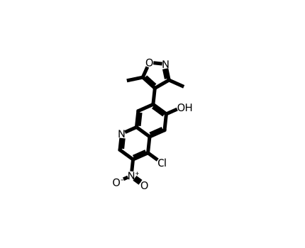 Cc1noc(C)c1-c1cc2ncc([N+](=O)[O-])c(Cl)c2cc1O